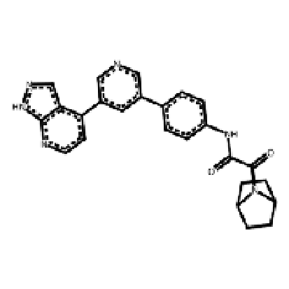 O=C(Nc1ccc(-c2cncc(-c3ccnc4[nH]ncc34)c2)cc1)C(=O)N1C2CCC1CC2